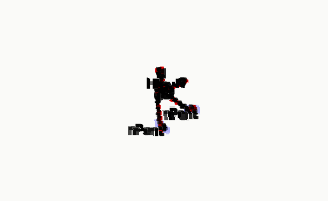 CCCCC/C=C\C/C=C\CCCCCCCCOCC(OC(=O)NCCCN1CCCCC1)C(COCCCCCCCC/C=C\C/C=C\CCCCC)OC(=O)NCCCN1CCCCC1